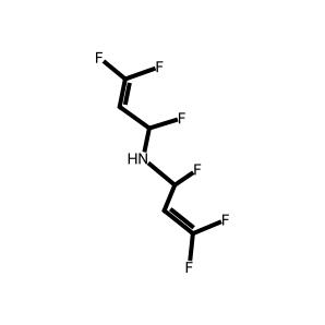 FC(F)=CC(F)NC(F)C=C(F)F